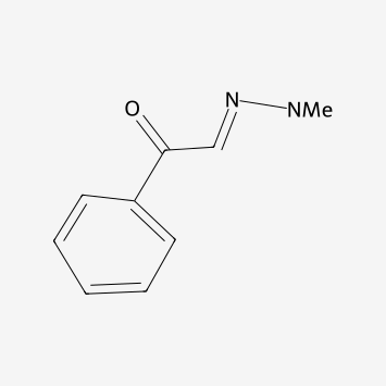 CN/N=C/C(=O)c1ccccc1